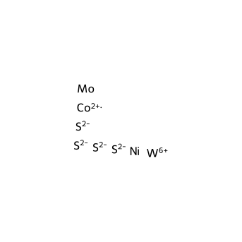 [Co+2].[Mo].[Ni].[S-2].[S-2].[S-2].[S-2].[W+6]